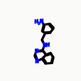 Nc1cccc(CNc2ncnc3ccccc23)c1